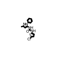 Cc1cc(NC(=O)Nc2ccc(Cl)s2)n(-c2ccccc2)n1